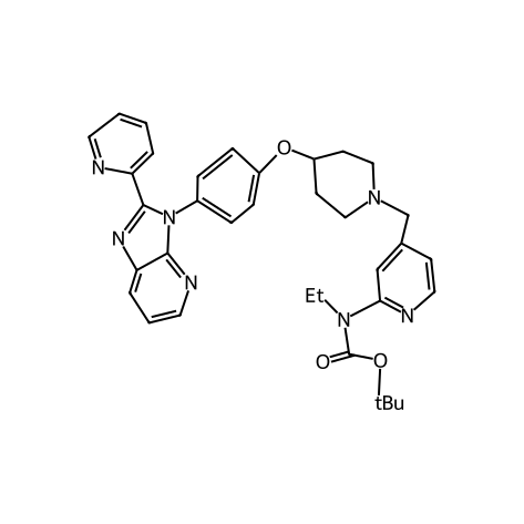 CCN(C(=O)OC(C)(C)C)c1cc(CN2CCC(Oc3ccc(-n4c(-c5ccccn5)nc5cccnc54)cc3)CC2)ccn1